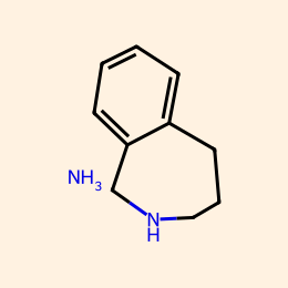 N.c1ccc2c(c1)CCCNC2